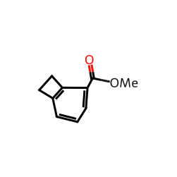 COC(=O)c1cccc2c1CC2